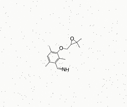 Cc1cc(C)c(OCC2OC2(C)C)c(C)c1C=N